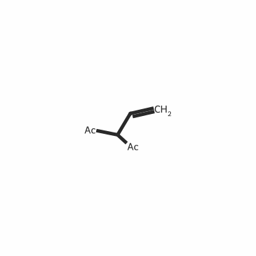 C=CC(C(C)=O)C(C)=O